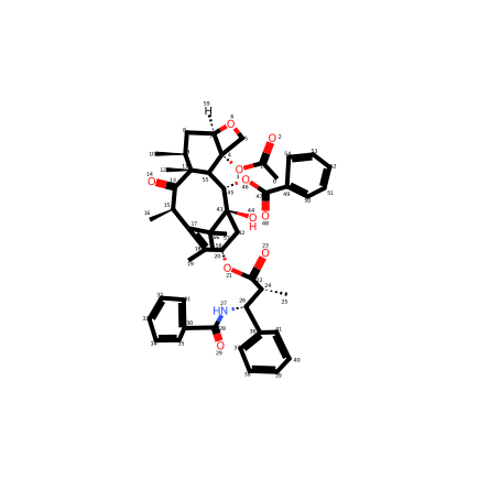 CC(=O)O[C@@]12CO[C@@H]1C[C@H](C)[C@@]1(C)C(=O)[C@H](C)C3=C(C)[C@@H](OC(=O)[C@H](C)[C@@H](NC(=O)c4ccccc4)c4ccccc4)C[C@@](O)([C@@H](OC(=O)c4ccccc4)C12)C3(C)C